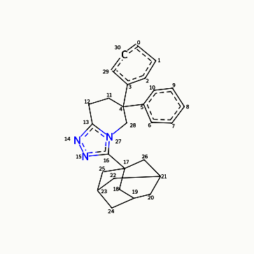 c1ccc(C2(c3ccccc3)CCc3nnc(C45CC6CC(CC(C6)C4)C5)n3C2)cc1